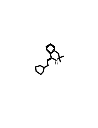 CC1(C)Cc2ccccc2C(=CCC2CCCCC2)N1